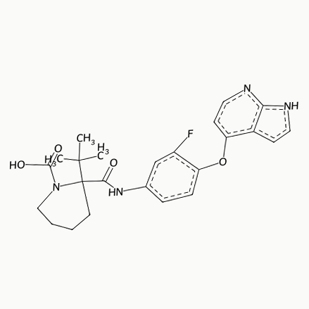 CC(C)(C)C1(C(=O)Nc2ccc(Oc3ccnc4[nH]ccc34)c(F)c2)CCCCN1C(=O)O